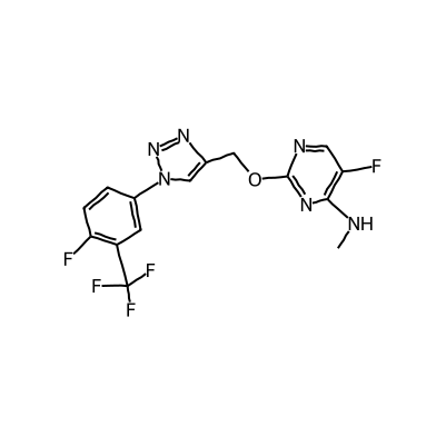 CNc1nc(OCc2cn(-c3ccc(F)c(C(F)(F)F)c3)nn2)ncc1F